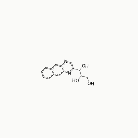 OCC(O)C(O)c1cnc2cc3ccccc3cc2n1